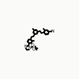 Cc1cc(CCc2ccc(C#N)cc2C)cc(CCc2ccc(C3=NCCCN3C(=O)OC(C)(C)C)cc2C)c1